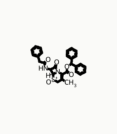 CC1=C(C(=O)OC(c2ccccc2)c2ccccc2)N2C(=O)C(NC(=O)Cc3ccccc3)[C@@H]2[S+]([O-])C1